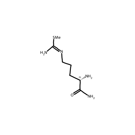 CSC(N)=NCCC[C@H](N)C(N)=O